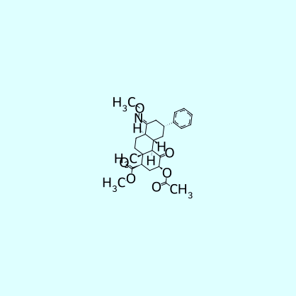 CO/N=C1\C[C@H](c2ccccc2)C[C@@H]2[C@H]3C(=O)[C@@H](OC(C)=O)C[C@@H](C(=O)OC)[C@]3(C)CC[C@@H]12